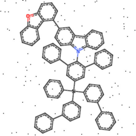 c1ccc(-c2cccc([Si](c3ccccc3)(c3cccc(-c4ccccc4)c3)c3cc(-c4ccccc4)c(-n4c5ccccc5c5cc(-c6cccc7oc8ccccc8c67)ccc54)c(-c4ccccc4)c3)c2)cc1